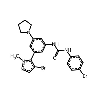 Cn1ncc(Br)c1-c1cc(NC(=O)Nc2ccc(Br)cc2)cc(N2CCCC2)c1